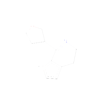 c1cc2c(s1)C(C1CCOC1)=NCC2